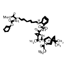 C=CC1CC1(NC(=O)[C@@H]1C[C@@]2(CN1C(=O)OC(C)(C)C)CC2(C)C)C(=O)NS(=O)(=O)c1ccccc1NCCCCCCC[C@H](NC(=O)OC1CCCC1)C(=O)OC